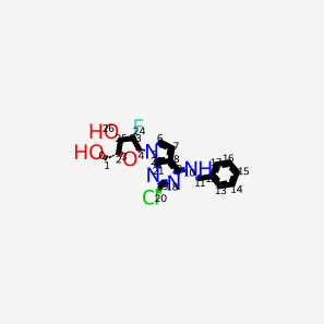 OC[C@H]1O[C@@H](n2ccc3c(NCc4ccccc4)nc(Cl)nc32)[C@@H](F)[C@@H]1O